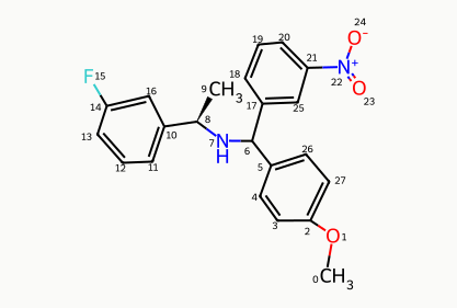 COc1ccc(C(N[C@H](C)c2cccc(F)c2)c2cccc([N+](=O)[O-])c2)cc1